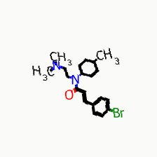 CN(C)CCN(C(=O)C=Cc1ccc(Br)cc1)[C@H]1CC[C@H](C)CC1